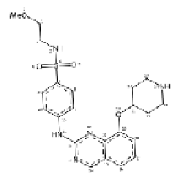 COCCNS(=O)(=O)c1ccc(Nc2ncc3cccc(OC4CCNCC4)c3n2)cc1